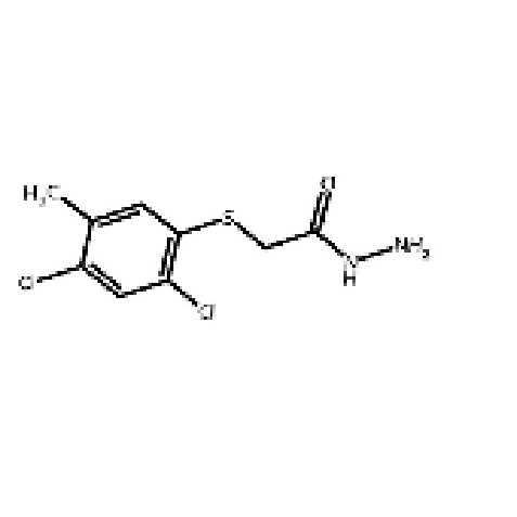 Cc1cc(SCC(=O)NN)c(Cl)cc1Cl